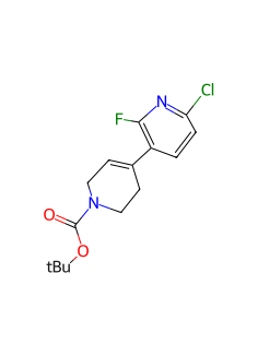 CC(C)(C)OC(=O)N1CC=C(c2ccc(Cl)nc2F)CC1